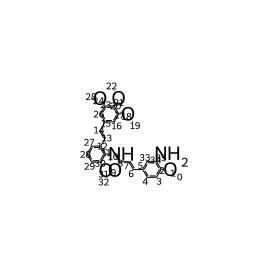 COc1ccc(/C=C/C(=O)Nc2c(/C=C/c3cc(OC)c(OC)c(OC)c3)cccc2OC)cc1N